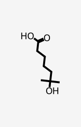 CC(C)(O)CCCCC(=O)O